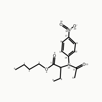 CCCCOC(=O)C(CC)N(C(C)=O)c1ccc([N+](=O)[O-])cc1